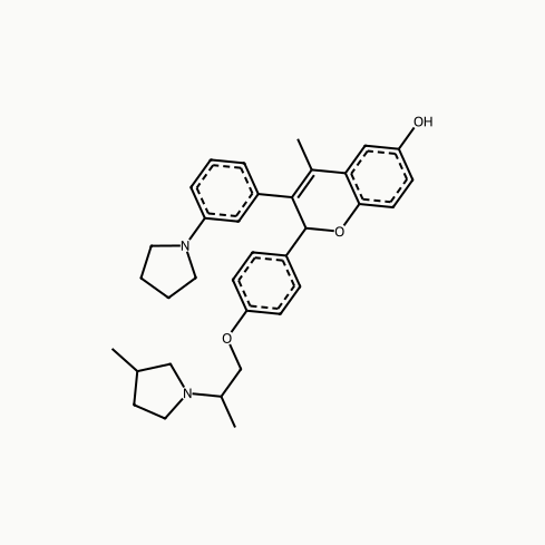 CC1=C(c2cccc(N3CCCC3)c2)C(c2ccc(OCC(C)N3CCC(C)C3)cc2)Oc2ccc(O)cc21